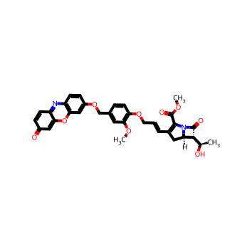 COC(=O)C1=C(/C=C/COc2ccc(COc3ccc4nc5ccc(=O)cc-5oc4c3)cc2OC)C[C@@H]2[C@@H]([C@@H](C)O)C(=O)N12